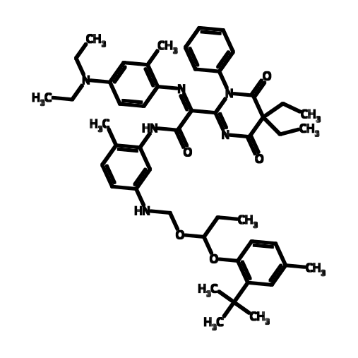 CCC(OCNc1ccc(C)c(NC(=O)/C(=N\c2ccc(N(CC)CC)cc2C)C2=NC(=O)C(CC)(CC)C(=O)N2c2ccccc2)c1)Oc1ccc(C)cc1C(C)(C)C